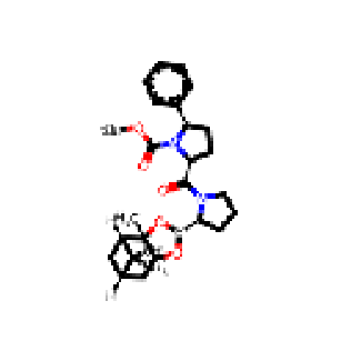 CC(C)(C)OC(=O)N1[C@@H](c2ccccc2)CC[C@H]1C(=O)N1CCC[C@H]1B1OC2C[C@@H]3C[C@@H](C3(C)C)[C@]2(C)O1